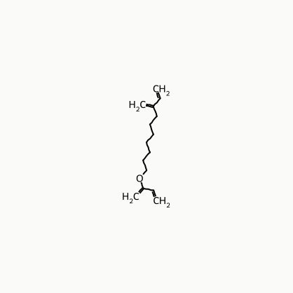 C=CC(=C)CCCCCCCOC(=C)C=C